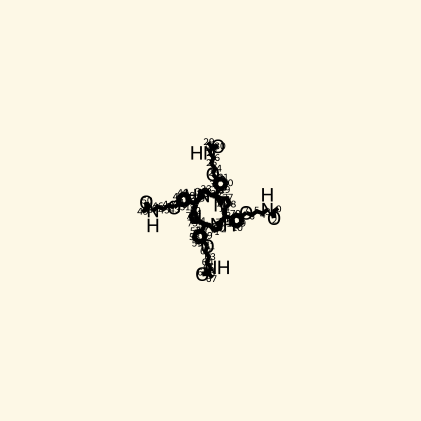 CC(=O)NCCCOc1cccc(-c2c3nc(c(-c4cccc(OCCCNC(C)=O)c4)c4ccc([nH]4)c(-c4cccc(OCCCNC(C)=O)c4)c4nc(c(-c5cccc(OCCCNC(C)=O)c5)c5ccc2[nH]5)C=C4)C=C3)c1